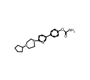 NC(=O)Oc1ccc(-c2ccc(N3CCN(C4CCCC4)CC3)nc2)cc1